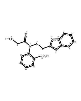 CCOC(=O)CC(=O)N(OCc1nc2ccccc2s1)c1ccccc1C(=O)OCC